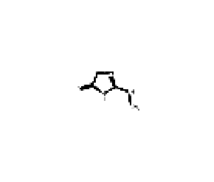 NNC1=NCC(=O)N1